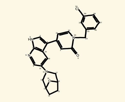 O=c1cc(-c2c[nH]c3ncc(N4CC5CCC(C4)O5)cc23)ccn1Cc1cccc(Cl)c1